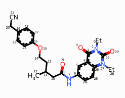 CCn1c(=O)c2cc(NC(=O)CC(C)CCOc3ccc(CC#N)cc3)ccc2n(CC)c1=O